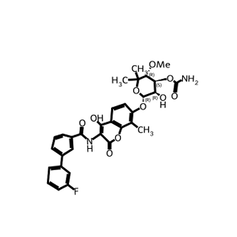 CO[C@@H]1[C@@H](OC(N)=O)[C@@H](O)[C@H](Oc2ccc3c(O)c(NC(=O)c4cccc(-c5cccc(F)c5)c4)c(=O)oc3c2C)OC1(C)C